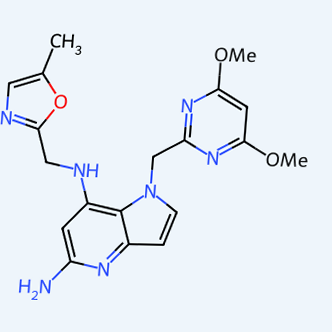 COc1cc(OC)nc(Cn2ccc3nc(N)cc(NCc4ncc(C)o4)c32)n1